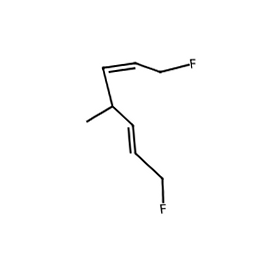 CC(C=CCF)/C=C\CF